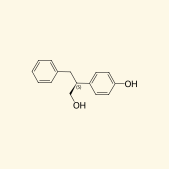 OC[C@@H](Cc1ccccc1)c1ccc(O)cc1